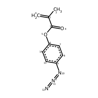 C=C(C)C(=O)Oc1ccc(N=[N+]=[N-])cc1